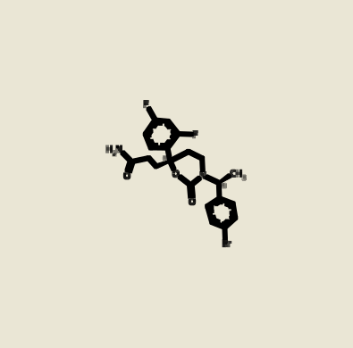 C[C@@H](c1ccc(Br)cc1)N1CC[C@@](CCC(N)=O)(c2ccc(F)cc2F)OC1=O